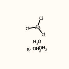 O.O.O.[Cl][Au]([Cl])[Cl].[K]